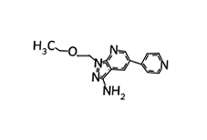 CCOCCn1nc(N)c2cc(-c3ccncc3)cnc21